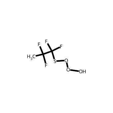 CC(F)(F)C(F)(F)SOOO